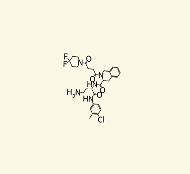 Cc1cc(NC(=O)[C@H](CCN)NC(=O)[C@@H]2Cc3ccccc3CN2C(=O)CCC(=O)N2CCC(F)(F)CC2)ccc1Cl